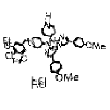 CCOc1cc(CN2CCC(N(c3ncc(-c4ccc(OC)cc4)cn3)N(c3ncc(-c4ccc(OC)cc4)cn3)C3CCNCC3)CC2)cc(OCC)c1Cl.Cl.Cl